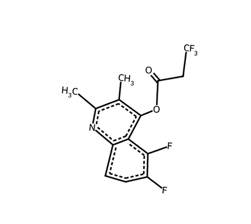 Cc1nc2ccc(F)c(F)c2c(OC(=O)CC(F)(F)F)c1C